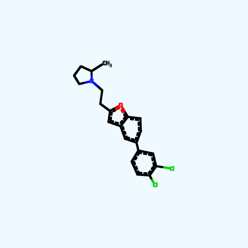 CC1CCCN1CCc1cc2cc(-c3ccc(Cl)c(Cl)c3)ccc2o1